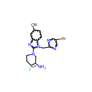 N#Cc1ccc2c(c1)nc(N1CC[C@@H](F)[C@H](N)C1)n2Cc1ncc(Br)cn1